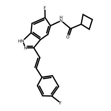 O=C(Nc1cc2c(/C=C/c3ccc(F)cc3)n[nH]c2cc1F)C1CCC1